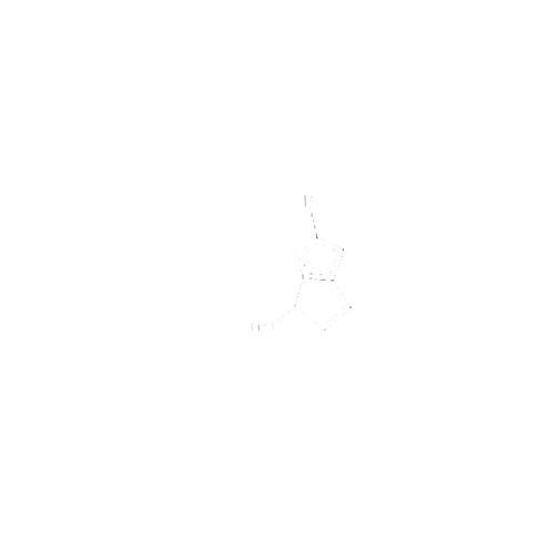 CCCC1C=Cc2cc(Br)sc21